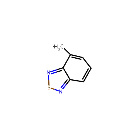 [CH2]c1cccc2nsnc12